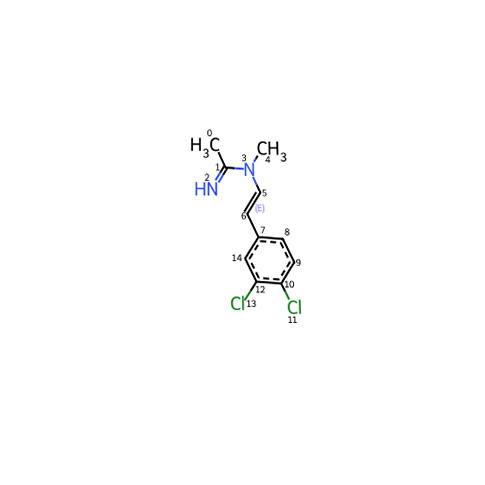 CC(=N)N(C)/C=C/c1ccc(Cl)c(Cl)c1